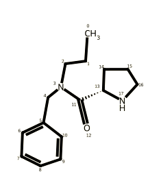 CCCN(Cc1ccccc1)C(=O)[C@@H]1CCCN1